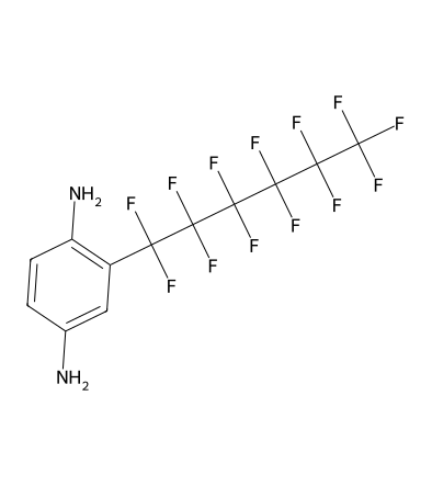 Nc1ccc(N)c(C(F)(F)C(F)(F)C(F)(F)C(F)(F)C(F)(F)C(F)(F)F)c1